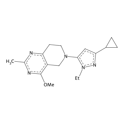 CCn1nc(C2CC2)cc1N1CCc2nc(C)nc(OC)c2C1